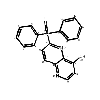 O=P(c1ccccc1)(c1ccccc1)c1ccc2nccc(O)c2n1